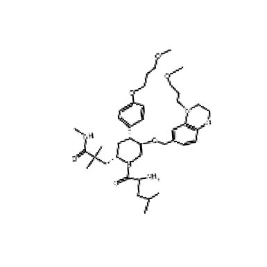 CNC(=O)C(C)(C)C[C@@H]1C[C@H](c2ccc(OCCCOC)cc2)[C@@H](OCc2ccc3c(c2)N(CCCOC)CCO3)CN1C(=O)C(N)CC(C)C